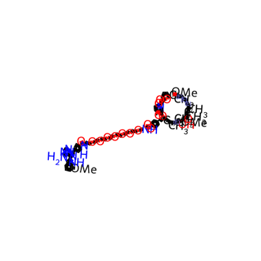 COc1cccc2cc(-c3nc([C@H]4CC[C@H](C(=O)NCCOCCOCCOCCOCCOCCOCCOCCNC(=O)O[C@H]5CC[C@H](CC[C@@H]6CC[C@H](C)/C=C(\C)[C@@H](O)[C@@H](OC)C(=O)[C@H](C)C[C@H](C)/C=C/C=C/C=C(\C)[C@@H](OC)CC7CCCC(O7)C(=O)C(=O)N7CCCC[C@H]7C(=O)O6)CC5)CC4)n4ncnc(N)c34)[nH]c12